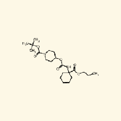 CCCOC(=O)C1(NC(=O)OC2CCN(C(=O)OC(C)(C)C)CC2)CCCCC1